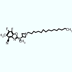 CCCCCCCCCCCCCCCCN1CC(N(C)c2nc3c(C#N)c(C)c(F)c(F)c3o2)C1